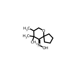 CC1COC2(CCCC2)/C(=N\O)C1(C)C